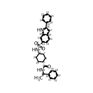 C[C@@H](NC(=O)[C@H]1CC[C@H](NS(=O)(=O)c2ccc3cc(-c4ccccc4)[nH]c3c2)CC1)c1ccccc1